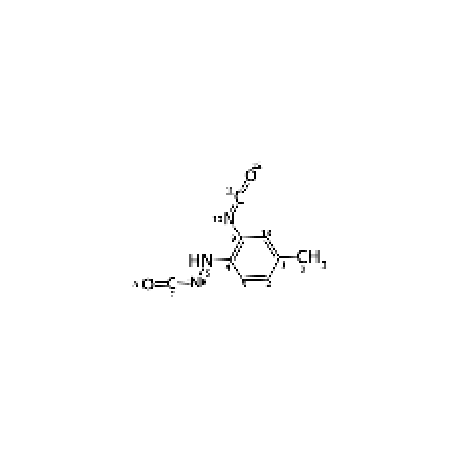 Cc1ccc(NN=C=O)c(N=C=O)c1